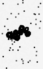 O=C(N[C@@H]1CCCCC1C(=O)N1CC[C@@H]2[C@H](C3C=CC=CC3)Nc3ccccc3[C@@H]21)c1ccccc1